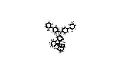 c1ccc(-c2ccc(N(c3ccc(-c4ccccc4)cc3)c3ccc4c(c3)-c3ccccc3C43C4CC5CC6CC3C64C5)cc2)cc1